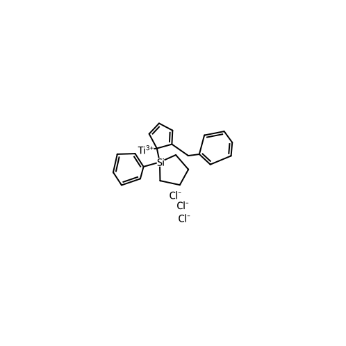 [Cl-].[Cl-].[Cl-].[Ti+3][C]1([Si]2(c3ccccc3)CCCC2)C=CC=C1Cc1ccccc1